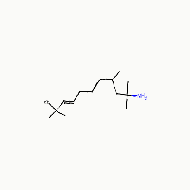 CCC(C)(C)/C=C/CCCC(C)CC(C)(C)N